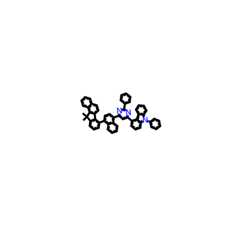 CC1(C)c2cccc(-c3ccc(-c4cc(-c5cccc6c5c5ccccc5n6-c5ccccc5)nc(-c5ccccc5)n4)c4ccccc34)c2-c2ccc3ccccc3c21